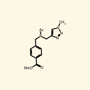 COC(=O)c1ccc(CN(Cc2cn(C)nn2)C(C)=O)cc1